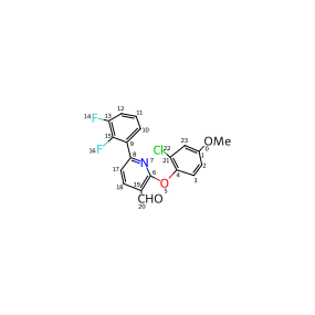 COc1ccc(Oc2nc(-c3cccc(F)c3F)ccc2C=O)c(Cl)c1